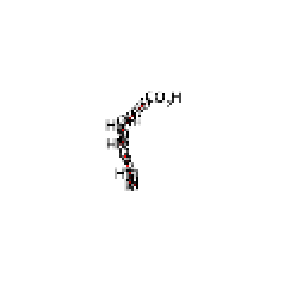 Cc1c(CC(=O)NCCCOCCOCCOCCCNC(=O)c2ccc3nonc3c2)c(=O)oc2cc(NCC(=O)NCCOCCOCCOCCOCCC(=O)O)ccc12